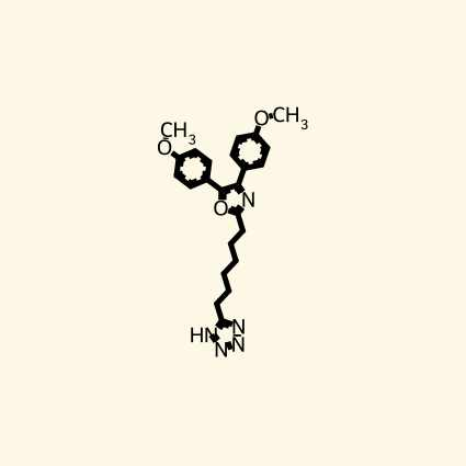 COc1ccc(-c2nc(CCCCCCc3nnn[nH]3)oc2-c2ccc(OC)cc2)cc1